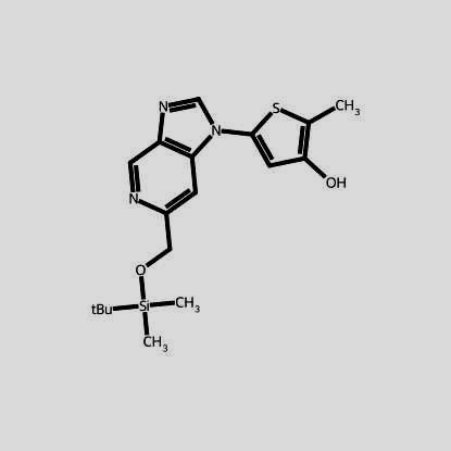 Cc1sc(-n2cnc3cnc(CO[Si](C)(C)C(C)(C)C)cc32)cc1O